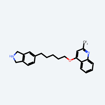 FC(F)(F)c1cc(OCCCCCc2ccc3c(c2)CNC3)c2ccccc2n1